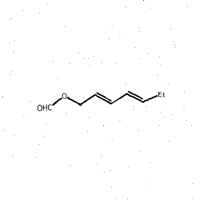 CCC=CC=CCOC=O